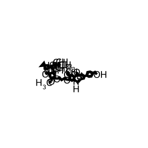 COc1cc2c(cc1OCCCOc1cc3c(cc1OC)C(=O)N1CC4(CC4)C[C@H]1C(O[Si](C)(C)C(C)(C)C)N3)NCC1CC(c3ccc(CO)cc3)=CN1C2=O